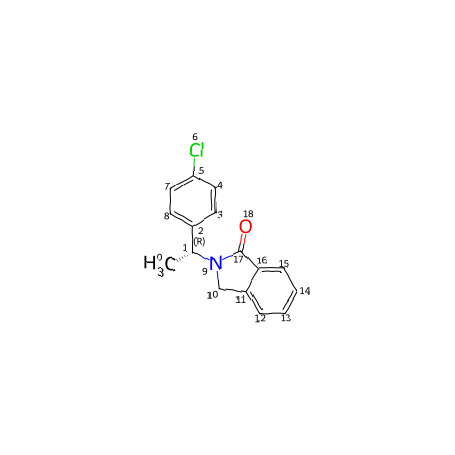 C[C@H](c1ccc(Cl)cc1)N1Cc2ccccc2C1=O